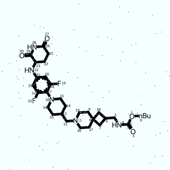 CCCCOC(=O)NCC1CC2(CCN(CC3CCN(c4c(F)cc(NC5CCC(=O)NC5=O)cc4F)CC3)CC2)C1